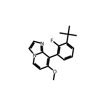 COc1ccn2ccnc2c1-c1cccc(C(C)(C)C)c1F